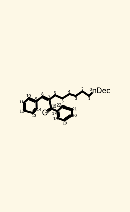 CCCCCCCCCCCCCCCCC(=Cc1ccccc1)C(=O)c1ccccc1